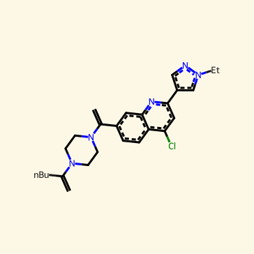 C=C(CCCC)N1CCN(C(=C)c2ccc3c(Cl)cc(-c4cnn(CC)c4)nc3c2)CC1